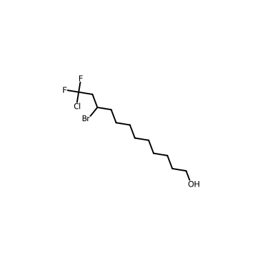 OCCCCCCCCCC(Br)CC(F)(F)Cl